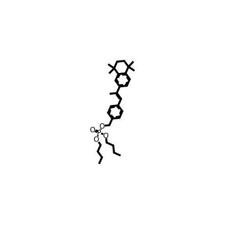 CCCCOP(=O)(OCCCC)OCc1ccc(C=C(C)c2ccc3c(c2)C(C)(C)CCC3(C)C)cc1